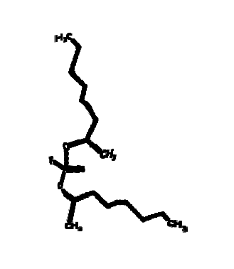 CCCCCCC(C)OP(F)(=S)OC(C)CCCCCC